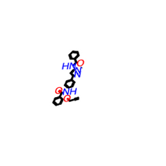 C#CCOc1ccccc1C(=O)Nc1ccc(-c2cc(NC(=O)c3ccccc3)n(C)n2)cc1